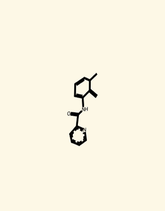 C=C1C(NC(=O)c2ccccn2)=CC=CC1C